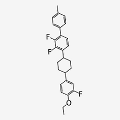 CCOc1ccc(C2CCC(c3ccc(-c4ccc(C)cc4)c(F)c3F)CC2)cc1F